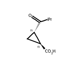 CC(C)C(=O)[C@H]1C[C@@H]1C(=O)O